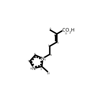 CC(=CCCn1ccnc1C)C(=O)O